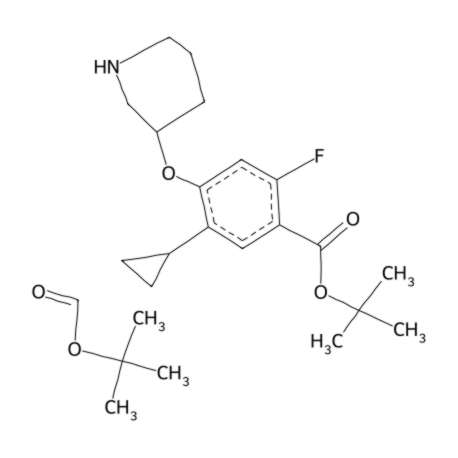 CC(C)(C)OC(=O)c1cc(C2CC2)c(OC2CCCNC2)cc1F.CC(C)(C)OC=O